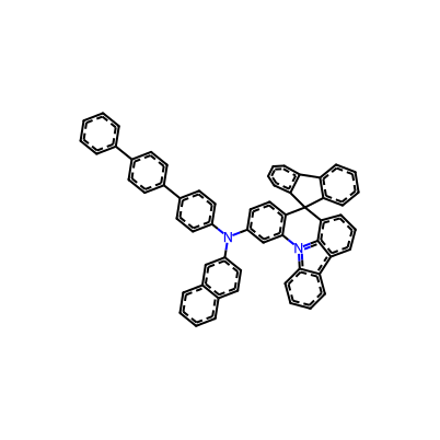 c1ccc(-c2ccc(-c3ccc(N(c4ccc5c(c4)-n4c6ccccc6c6cccc(c64)C54c5ccccc5-c5ccccc54)c4ccc5ccccc5c4)cc3)cc2)cc1